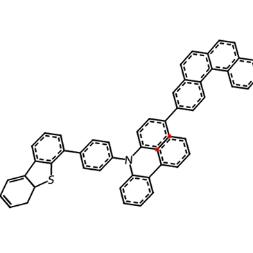 C1=CCC2Sc3c(cccc3-c3ccc(N(c4ccc(-c5ccc6c(ccc7ccc8ccccc8c76)c5)cc4)c4ccccc4-c4ccccc4)cc3)C2=C1